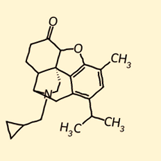 Cc1cc(C(C)C)c2c3c1OC1C(=O)CCC4C(C2)N(CC2CC2)CC[C@@]314